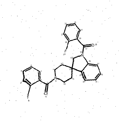 O=C(c1ccccc1F)N1CCC2(CC1)CN(C(=O)c1ccccc1F)c1ccccc12